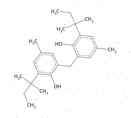 CCC(C)(C)c1cc(C)cc(Cc2cc(C)cc(C(C)(C)CC)c2O)c1O